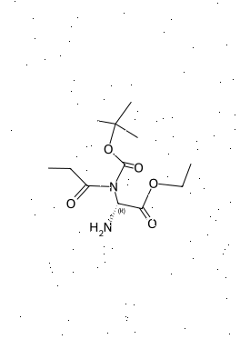 CCOC(=O)[C@H](N)N(C(=O)CC)C(=O)OC(C)(C)C